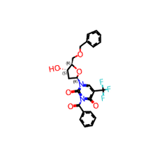 O=C(c1ccccc1)n1c(=O)c(C(F)(F)F)cn([C@H]2C[C@H](O)[C@@H](COCc3ccccc3)O2)c1=O